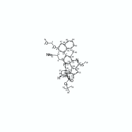 COCOc1cc(-c2c(CCC#N)cc3c(nc(SC)c4cc(C)n([C@H]5[C@@H]6C[C@H]5N(C(=O)OC(C)(C)C)C6)c43)c2F)c2ccccc2c1